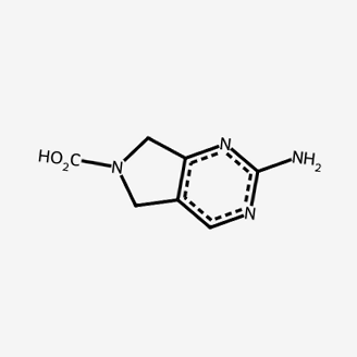 Nc1ncc2c(n1)CN(C(=O)O)C2